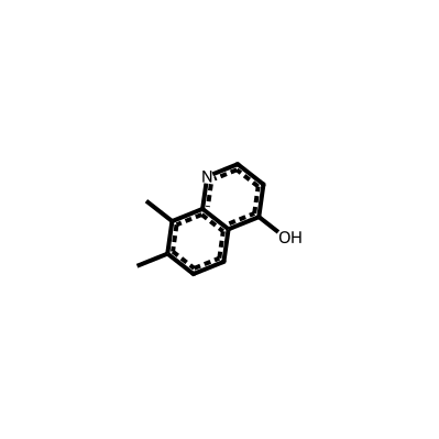 Cc1ccc2c(O)ccnc2c1C